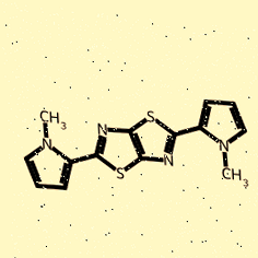 Cn1cccc1-c1nc2sc(-c3cccn3C)nc2s1